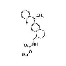 CN(c1ccc2c(c1)CCC[C@H]2CNC(=O)OC(C)(C)C)c1ccccc1F